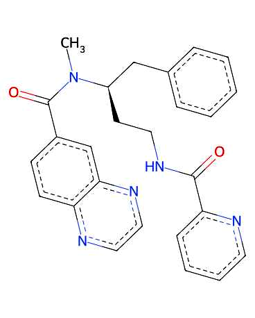 CN(C(=O)c1ccc2nccnc2c1)[C@H](CCNC(=O)c1ccccn1)Cc1ccccc1